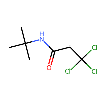 CC(C)(C)NC(=O)[CH]C(Cl)(Cl)Cl